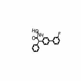 O=C(NO)C(c1ccccc1)c1ccc(-c2cccc(F)c2)cc1